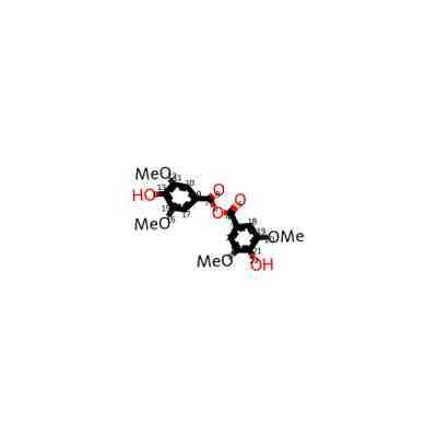 COc1cc(C(=O)OC(=O)c2cc(OC)c(O)c(OC)c2)cc(OC)c1O